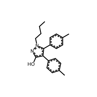 CCCCn1nc(O)c(-c2ccc(C)cc2)c1-c1ccc(C)cc1